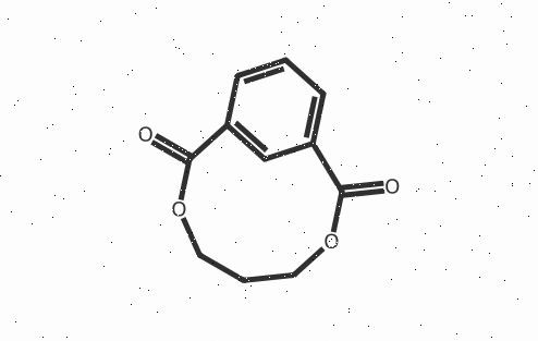 O=C1OCCCOC(=O)c2cccc1c2